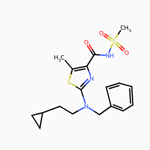 Cc1sc(N(CCC2CC2)Cc2ccccc2)nc1C(=O)NS(C)(=O)=O